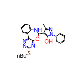 CCCCSc1nnc2c(n1)OC(c1c(C)nn(-c3ccccc3)c1O)Nc1ccccc1-2